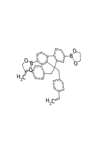 C=Cc1ccc(CC2(Cc3ccc(C=C)cc3)c3cc(B4OCCO4)ccc3-c3ccc(B4OCCO4)cc32)cc1